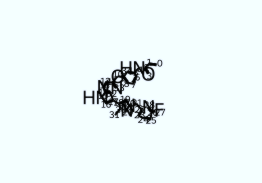 C=CC(=O)Nc1cccc(Oc2cnc3[nH]cc(-c4cn(Cc5cccc(F)n5)nc4C)c3n2)c1